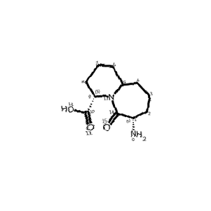 N[C@H]1CCCC2CCC[C@@H](C(=O)O)N2C1=O